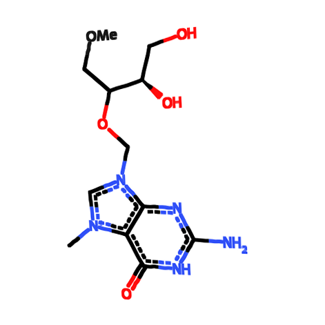 COCC(OCn1c[n+](C)c2c(=O)[nH]c(N)nc21)[C@H](O)CO